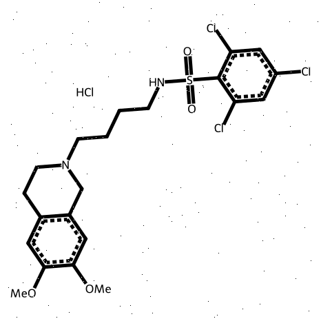 COc1cc2c(cc1OC)CN(CCCCNS(=O)(=O)c1c(Cl)cc(Cl)cc1Cl)CC2.Cl